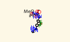 COC(=O)N[C@H](C(=O)N1CC2(C[C@H]1c1ncc(-c3ccc4c(c3)C(F)(F)C(F)(F)c3cc(-c5cnc(-c6ccc[nH]6)[nH]5)ccc3-4)[nH]1)OCCO2)C(C)C